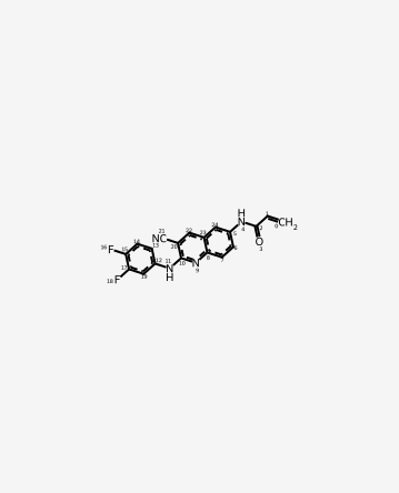 C=CC(=O)Nc1ccc2nc(Nc3ccc(F)c(F)c3)c(C#N)cc2c1